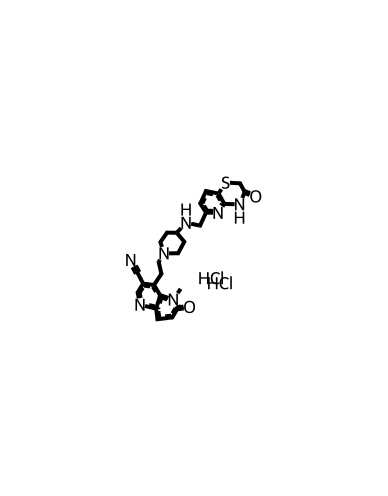 Cl.Cl.Cn1c(=O)ccc2ncc(C#N)c(CCN3CCC(NCc4ccc5c(n4)NC(=O)CS5)CC3)c21